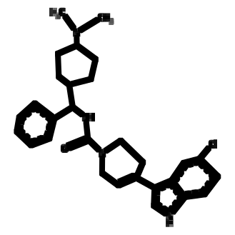 CN(C)C1CCC(C(NC(=O)N2CC=C(c3c[nH]c4ccc(Cl)cc34)CC2)c2ccccc2)CC1